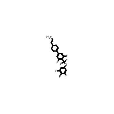 CCCC1CC=C(c2cc(F)c(C(F)(F)Oc3cc(F)c(F)c(F)c3)c(F)c2)CC1